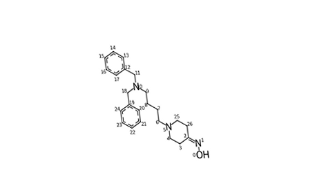 ON=C1CCN(CCCCN(Cc2ccccc2)Cc2ccccc2)CC1